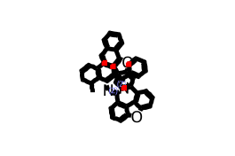 C/N=C(\N=C(\c1ccccc1)c1ccc2c(c1)C(C)CC=C2)c1cccc2oc3cccc(-c4ccc5c(c4)oc4c6ccccc6ccc54)c3c12